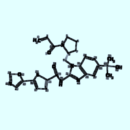 C=CC(=O)N1CCC[C@@H]1Cn1c(NC(=O)c2ccc(-c3cnco3)s2)nc2cc(C(C)(C)O)ccc21